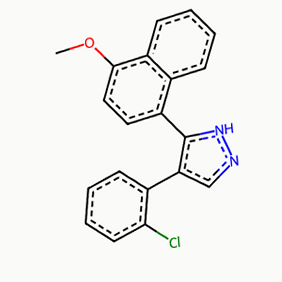 COc1ccc(-c2[nH]ncc2-c2ccccc2Cl)c2ccccc12